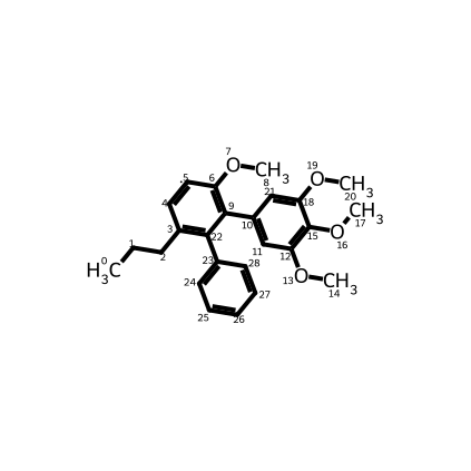 CCCc1c[c]c(OC)c(-c2cc(OC)c(OC)c(OC)c2)c1-c1ccccc1